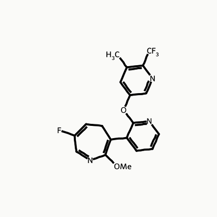 COC1=C(c2cccnc2Oc2cnc(C(F)(F)F)c(C)c2)CC=C(F)C=N1